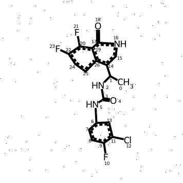 CC(NC(=O)Nc1ccc(F)c(Cl)c1)c1c[nH]c(=O)c2c(F)c(F)ccc12